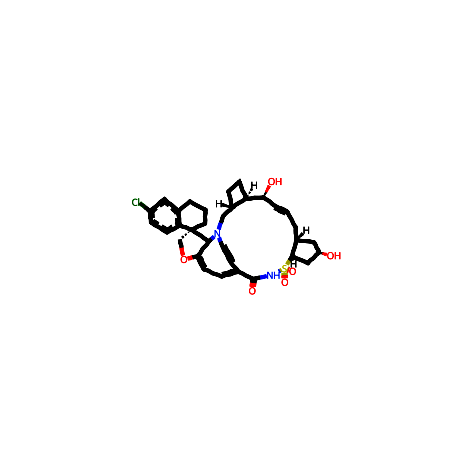 O=C1NS(=O)(=O)[C@@H]2C[C@H](O)C[C@H]2C/C=C/[C@H](O)[C@@H]2CC[C@H]2CN2C=CC1=CC=C1OC[C@]3(CCCc4cc(Cl)ccc43)C12